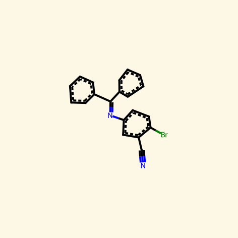 N#Cc1cc(N=C(c2ccccc2)c2ccccc2)ccc1Br